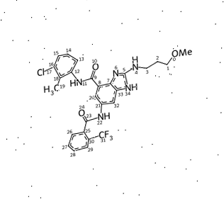 COCCCNc1nc2c(C(=O)Nc3cccc(Cl)c3C)cc(NC(=O)c3ccccc3C(F)(F)F)cc2[nH]1